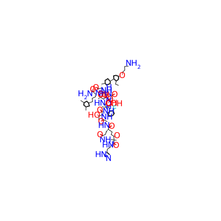 CCc1cc(OCCCCN)ccc1-c1ccc(C[C@H](NC(=O)[C@H](CC(=O)O)NC(=O)[C@H](CO)NC(=O)[C@@H](NC(=O)[C@](C)(Cc2ccccc2F)NC(=O)[C@@H](NC(=O)CNC(=O)[C@H](CCC(N)=O)CCC(=O)C(C)(C)C(=O)NCCc2cnc[nH]2)[C@@H](C)O)[C@@H](C)O)C(=O)N[C@@H](CCCc2cc(C)cc(C)c2)C(N)=O)cc1